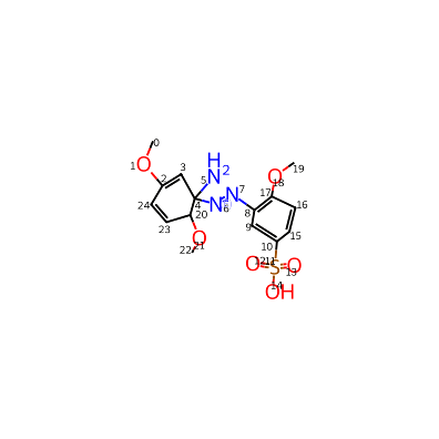 COC1=CC(N)(/N=N/c2cc(S(=O)(=O)O)ccc2OC)C(OC)C=C1